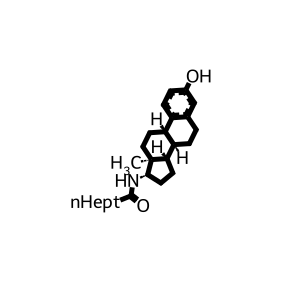 CCCCCCCC(=O)N[C@H]1CC[C@H]2[C@@H]3CCc4cc(O)ccc4[C@H]3CC[C@]12C